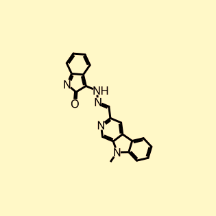 Cn1c2ccccc2c2cc(/C=N/NC3=c4ccccc4=NC3=O)ncc21